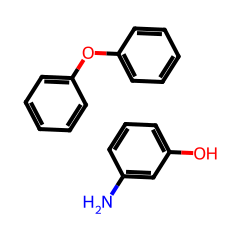 Nc1cccc(O)c1.c1ccc(Oc2ccccc2)cc1